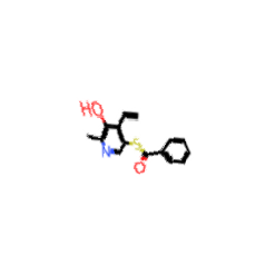 C=Cc1c(SC(=O)c2ccccc2)cnc(C)c1O